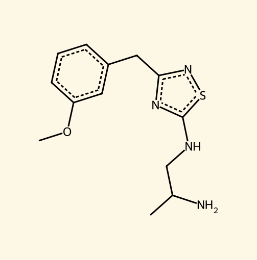 COc1cccc(Cc2nsc(NCC(C)N)n2)c1